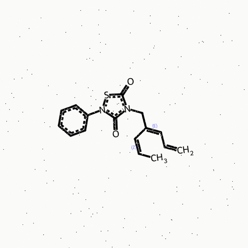 C=C/C=C(\C=C/C)Cn1c(=O)sn(-c2ccccc2)c1=O